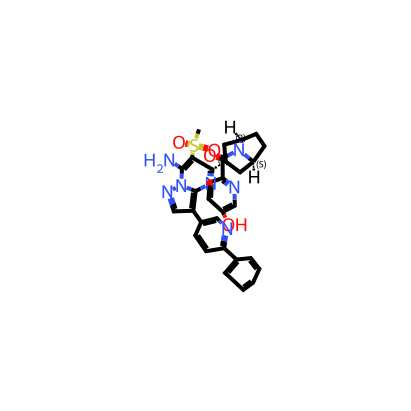 CS(=O)(=O)c1c([C@@H]2C[C@H]3CC[C@@H](C2)N3C(=O)c2ccc(O)cn2)nc2c(-c3ccc(-c4ccccc4)nc3)cnn2c1N